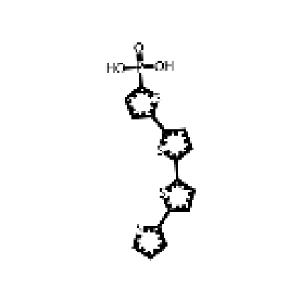 O=P(O)(O)c1ccc(-c2ccc(-c3ccc(-c4cccs4)s3)s2)s1